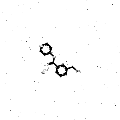 Cl.Cl.NCc1cccc(C(=O)Nc2ccncc2)c1